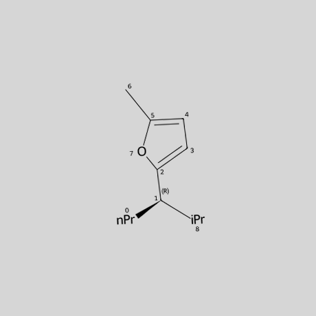 CCC[C@@H](c1ccc(C)o1)C(C)C